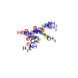 CNC(=O)c1cc(NC(=O)[C@H](CC(=O)O)NC(=O)CNC(=O)[C@H](CCCCN=C(N)N)NC(=O)CCSSC)c2ccccc2c1